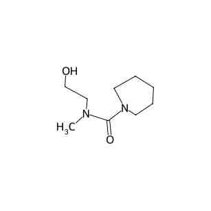 CN(CCO)C(=O)N1CCCCC1